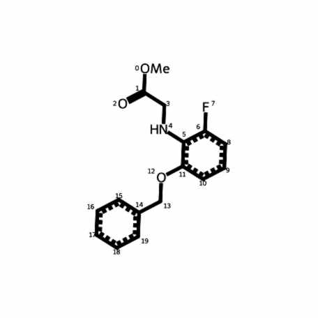 COC(=O)CNc1c(F)cccc1OCc1ccccc1